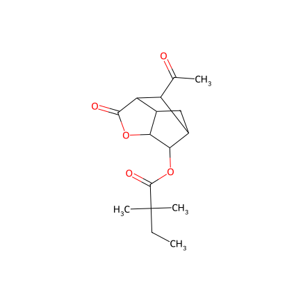 CCC(C)(C)C(=O)OC1C2CC3C1OC(=O)C3C2C(C)=O